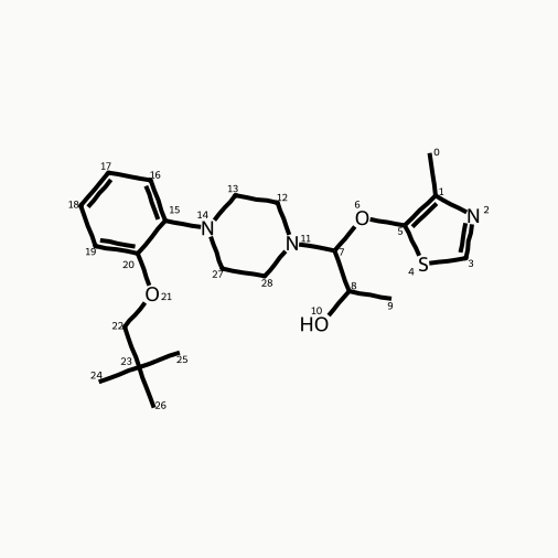 Cc1ncsc1OC(C(C)O)N1CCN(c2ccccc2OCC(C)(C)C)CC1